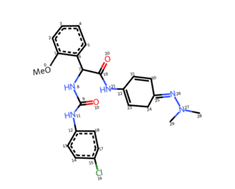 COc1ccccc1C(NC(=O)Nc1ccc(Cl)cc1)C(=O)NC1=CCC(=NN(C)C)C=C1